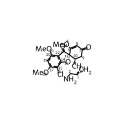 C=CCN.COC1=CC(=O)C[C@@H](C)[C@]12Oc1c(Cl)c(OC)cc(OC)c1C2=O